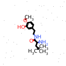 COc1ccc(CCNC(=O)C(N)CC(C)(C)C)cc1O